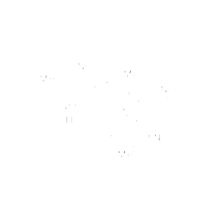 COC(N=O)C(=O)c1ccc(C(=O)C(N=O)OC)c2c(C(=O)C(N=O)OC)ccc(O)c12